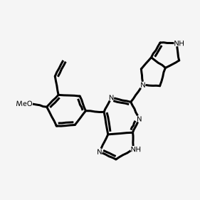 C=Cc1cc(-c2nc(N3CC4=CNCC4C3)nc3[nH]cnc23)ccc1OC